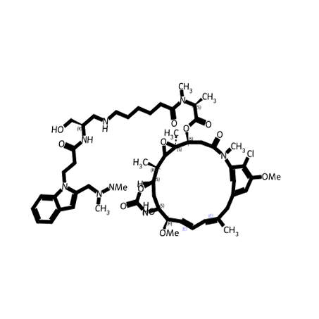 CNN(C)Cc1cc2ccccc2n1CCC(=O)N[C@@H](CO)CNCCCCCC(=O)N(C)[C@@H](C)C(=O)O[C@H]1CC(=O)N(C)c2cc(cc(OC)c2Cl)C/C(C)=C/C=C/[C@@H](OC)[C@@]2(O)C[C@H](OC(=O)N2)[C@@H](C)C2O[C@]21C